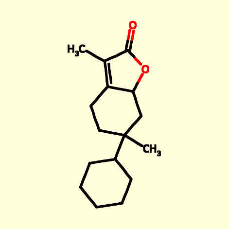 CC1=C2CCC(C)(C3CCCCC3)CC2OC1=O